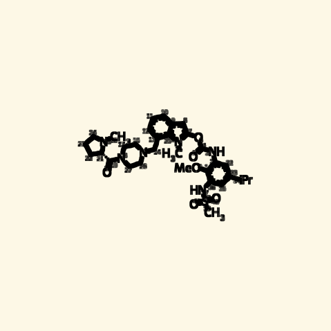 COc1c(NC(=O)Oc2cc3cccc(CN4CCN(C(=O)[C@@H]5CCCN5C)CC4)c3n2C)cc(C(C)C)cc1NS(C)(=O)=O